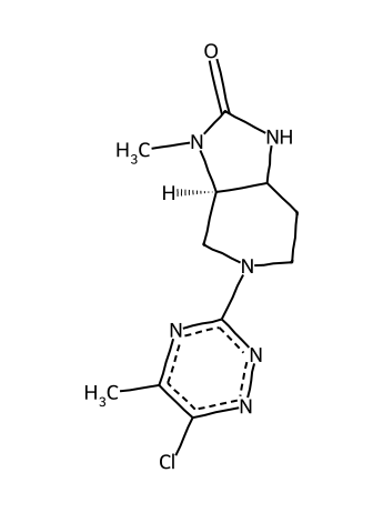 Cc1nc(N2CCC3NC(=O)N(C)[C@@H]3C2)nnc1Cl